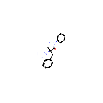 CC(N)(Cc1ccccc1)C(=O)Nc1ccccc1